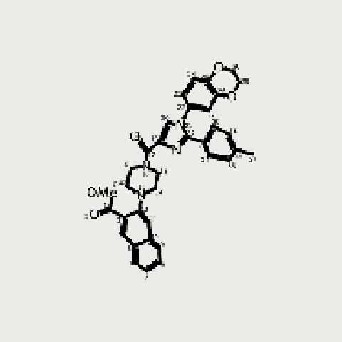 COC(=O)c1cc2ccccc2cc1N1CCN(C(=O)c2cn(-c3ccc4c(c3)OCCO4)c(-c3ccc(C)cc3)n2)CC1